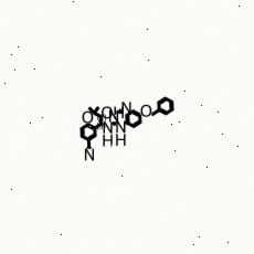 CC1(C)Oc2ccc(C#N)cc2[C@H](NC(=NC#N)Nc2ccc(OCc3ccccc3)cc2)[C@H]1O